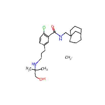 CC(C)(CO)NCCCc1ccc(Cl)c(C(=O)NCC23CCCC(CCC2)C3)c1.[CH2]